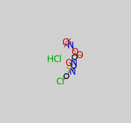 COc1cc(-n2ccc3nc(-c4ccc(Cl)cc4)sc3c2=O)ccc1OCCN1CC(C)(C)OC(C)(C)C1.Cl